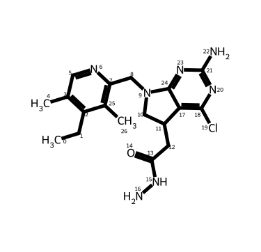 CCc1c(C)cnc(CN2CC(CC(=O)NN)c3c(Cl)nc(N)nc32)c1C